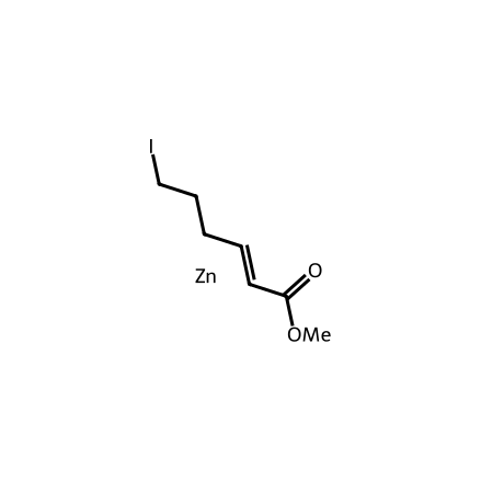 COC(=O)/C=C/CCCI.[Zn]